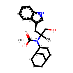 CC(CO)(Cc1c[nH]c2ccccc12)N(C(=O)O)C1CCC2CCCC1C2.[CH2]